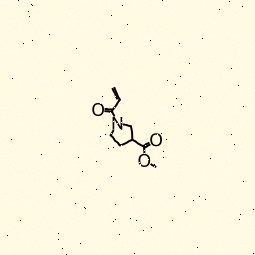 C=CC(=O)N1CCC(C(=O)OC)C1